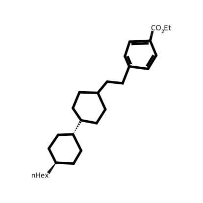 CCCCCC[C@H]1CC[C@H](C2CCC(CCc3ccc(C(=O)OCC)cc3)CC2)CC1